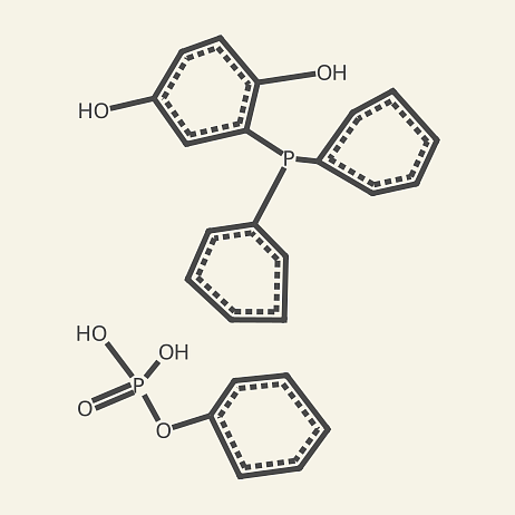 O=P(O)(O)Oc1ccccc1.Oc1ccc(O)c(P(c2ccccc2)c2ccccc2)c1